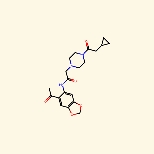 CC(=O)c1cc2c(cc1NC(=O)CN1CCN(C(=O)CC3CC3)CC1)OCO2